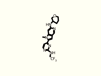 Cn1c(-c2ccnc(NCC(F)(F)F)n2)cc2cnc(NC3CCCOC3)cc21